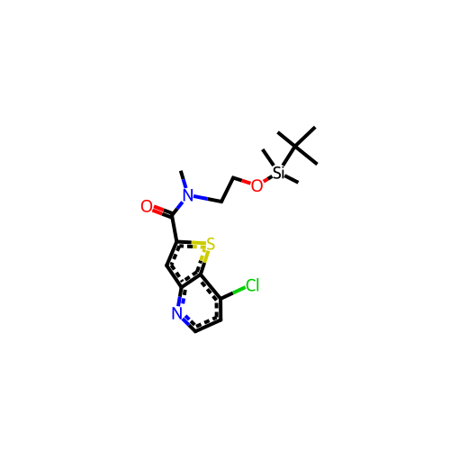 CN(CCO[Si](C)(C)C(C)(C)C)C(=O)c1cc2nccc(Cl)c2s1